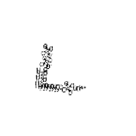 O.O.O.O.O.O.O.O.O.O.O.O.O=S(=O)([O-])[O-].O=S(=O)([O-])[O-].O=S(=O)([O-])[O-].[Cr+3].[Cr+3]